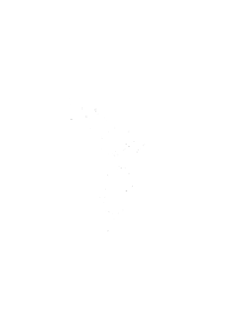 COc1ccc(Cn2c(CCl)cc(=O)n(Cc3ccc(OC)cc3)c2=O)cc1